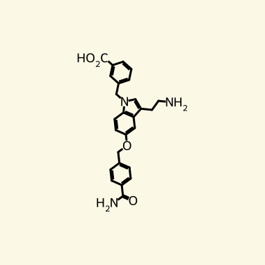 NCCc1cn(Cc2cccc(C(=O)O)c2)c2ccc(OCc3ccc(C(N)=O)cc3)cc12